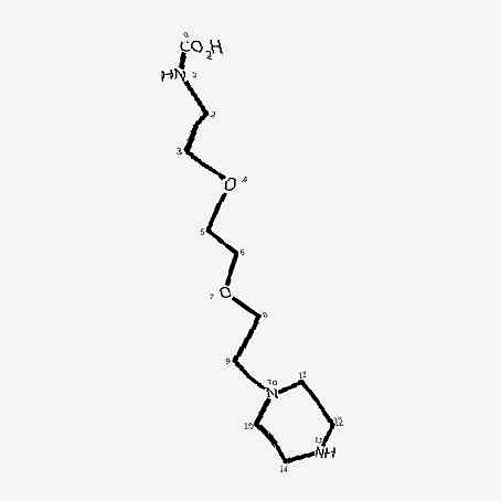 O=C(O)NCCOCCOCCN1CCNCC1